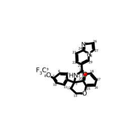 O=C(NC1(c2ccc(OC(F)(F)F)cc2)CCOc2cccnc21)c1ccc2nccn2c1